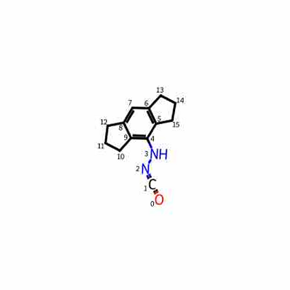 O=C=NNc1c2c(cc3c1CCC3)CCC2